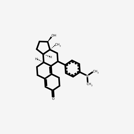 CN(C)c1ccc(C2C[C@]3(C)[C@H](O)CC[C@@H]3[C@@H]3CCC4=CC(=O)CCC4=C23)cc1